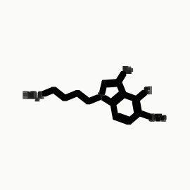 C[CH]c1cn(CCCCC(=O)OCC)c2ccc(OC)c(Cl)c12